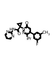 Cc1cc(F)cc(-c2cc(=O)n(C3(C(=O)Nc4ncccn4)CC3)nc2C(C)C)c1